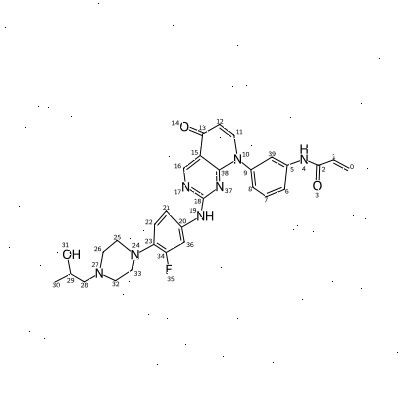 C=CC(=O)Nc1cccc(-n2ccc(=O)c3cnc(Nc4ccc(N5CCN(CC(C)O)CC5)c(F)c4)nc32)c1